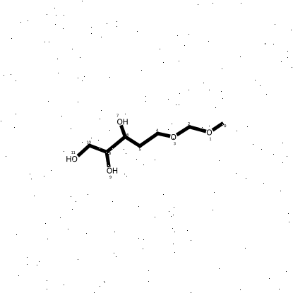 CO[CH]OCCC(O)C(O)CO